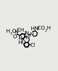 CN(C)C(=O)c1cc2nc(N3CCC[C@@H](NC(=O)O)C3)n(Cc3ccccc3Cl)c2c(=O)[nH]1